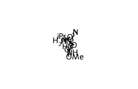 COCNC(=O)CNC(=O)[C@H](CCCCN(C)C)NC(=O)[C@@H](N)C(C)C